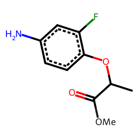 COC(=O)C(C)Oc1ccc(N)cc1F